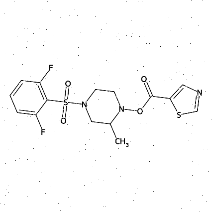 CC1CN(S(=O)(=O)c2c(F)cccc2F)CCN1OC(=O)c1cncs1